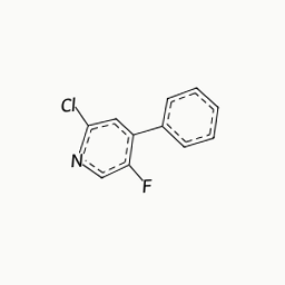 Fc1cnc(Cl)cc1-c1ccccc1